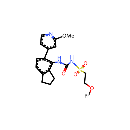 COc1cc(-c2ccc3c(c2NC(=O)NS(=O)(=O)CCOC(C)C)CCC3)ccn1